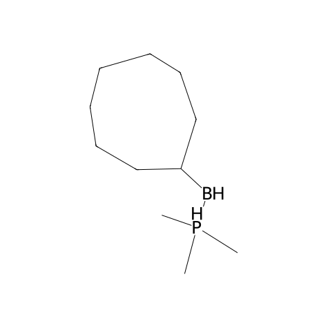 C[PH](C)(C)BC1CCCCCCC1